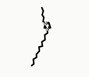 CCCCCCCCCCCCn1cc[n+](CCCCC)c1